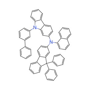 c1ccc(-c2cccc(-n3c4ccccc4c4ccc(N(c5ccc6c(c5)C(c5ccccc5)(c5ccccc5)c5ccccc5-6)c5cccc6ccccc56)cc43)c2)cc1